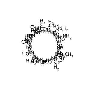 CCCC[C@H]1C(=O)N(C)[C@@H](CCCC)C(=O)N[C@@H](CCCNC(=N)N)C(=O)N[C@H](C(=O)NCC(N)=O)CSCC(=O)N[C@@H](Cc2ccc(OC)c(OC)c2)C(=O)N(C)[C@@H](C)C(=O)N[C@@H](CC(N)=O)C(=O)N2CCC[C@H]2C(=O)N[C@@H](CN)C(=O)N[C@@H](CC(C)C)C(=O)N2C[C@H](O)C[C@H]2C(=O)N[C@@H](Cc2c[nH]c3ccccc23)C(=O)N[C@@H](CO)C(=O)N[C@@H](Cc2c[nH]c3ccccc23)C(=O)N1C